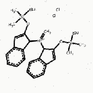 [CH2]=[Hf+2]([CH]1C(O[Si](C)(C)C(C)(C)C)=Cc2ccccc21)[CH]1C(O[Si](C)(C)C(C)(C)C)=Cc2ccccc21.[Cl-].[Cl-]